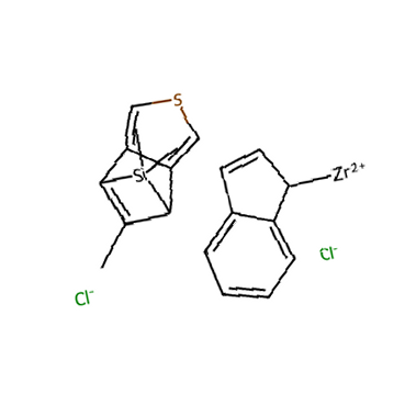 CC1=C2c3cscc3C1[Si]2(C)C.[Cl-].[Cl-].[Zr+2][CH]1C=Cc2ccccc21